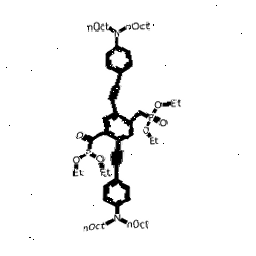 CCCCCCCCN(CCCCCCCC)c1ccc(C#Cc2cc(C(=O)P(OCC)OCC)c(C#Cc3ccc(N(CCCCCCCC)CCCCCCCC)cc3)cc2CP(=O)(OCC)OCC)cc1